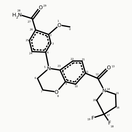 COc1cc(N2CCOc3cc(C(=O)N4CCC(F)(F)C4)ccc32)ccc1C(N)=O